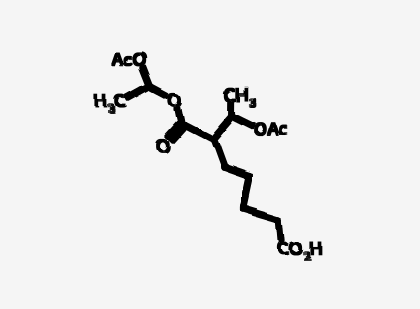 CC(=O)OC(C)OC(=O)C(CCCCC(=O)O)C(C)OC(C)=O